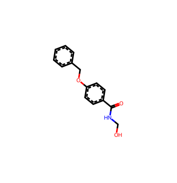 O=C(NCO)c1ccc(OCc2ccccc2)cc1